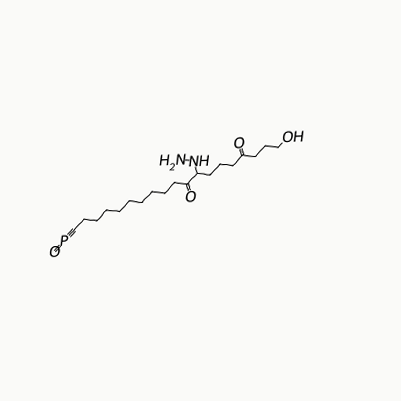 NNC(CCCC(=O)CCCO)C(=O)CCCCCCCCCC#P=O